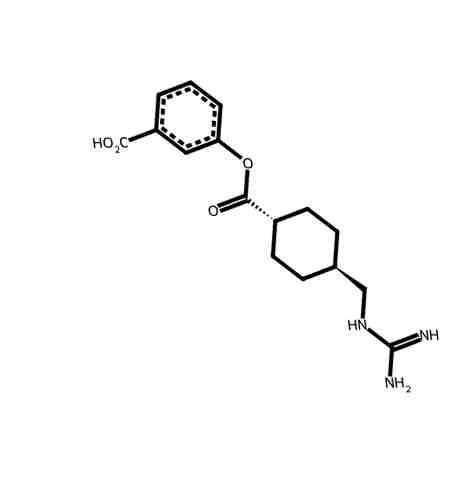 N=C(N)NC[C@H]1CC[C@H](C(=O)Oc2cccc(C(=O)O)c2)CC1